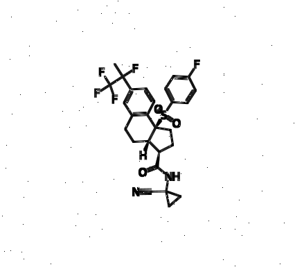 CC(F)(c1ccc2c(c1)CC[C@H]1[C@H](C(=O)NC3(C#N)CC3)CC[C@@]21S(=O)(=O)c1ccc(F)cc1)C(F)(F)F